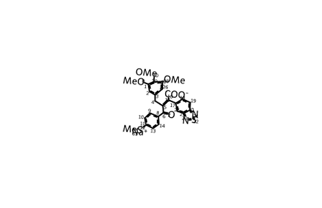 COc1cc(CC(C(=O)c2ccc(SC)cc2)=C(C(=O)[O-])c2ccc3nsnc3c2)cc(OC)c1OC.[Na+]